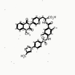 Cc1cn(-c2ccc(S(=O)(=O)Nc3cc(F)c(C(=O)N[C@@H](Cc4ccc(-n5c(=O)c6ccccc6n(C)c5=O)cn4)C(=O)O)cc3F)cc2)nn1